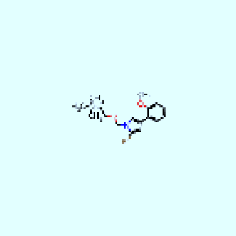 COc1ccccc1-c1cc(Br)n(COCC[Si](C)(C)C)c1